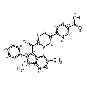 Cc1cnc2c(c1)c(C(=O)N1CCN(c3ccc(C(=O)O)cn3)CC1)c(-c1ccccc1)n2C